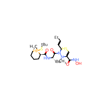 CC/C=C/CN(C(=O)[C@@H](NC(=O)[C@H]1CCCC[PH]1(C)SC(C)(C)C)C(C)CC)N(C)/C(=C\S)C(=O)NO